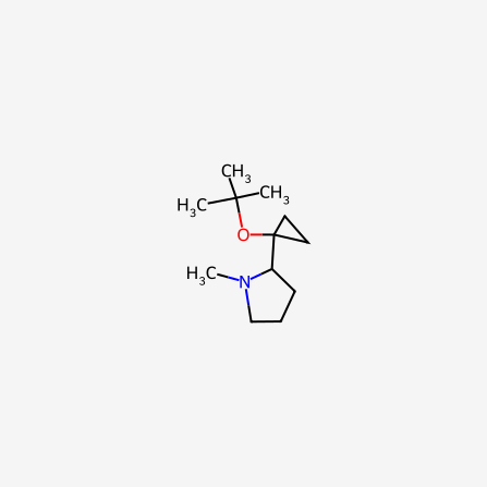 CN1CCCC1C1(OC(C)(C)C)CC1